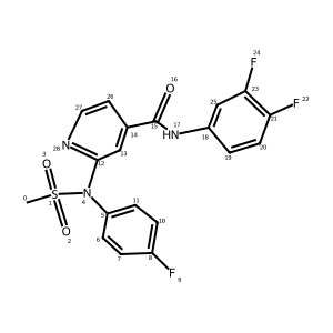 CS(=O)(=O)N(c1ccc(F)cc1)c1cc(C(=O)Nc2ccc(F)c(F)c2)ccn1